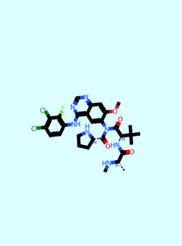 CN[C@@H](C)C(=O)N[C@H](C(=O)N(C(=O)[C@@H]1CCCN1)c1cc2c(Nc3ccc(Cl)c(Cl)c3F)ncnc2cc1OC)C(C)(C)C